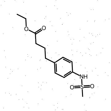 CCOC(=O)CCCc1ccc(NS(C)(=O)=O)cc1